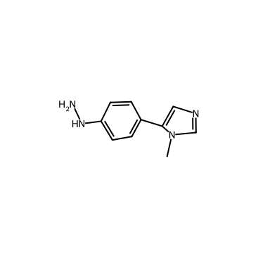 Cn1cncc1-c1ccc(NN)cc1